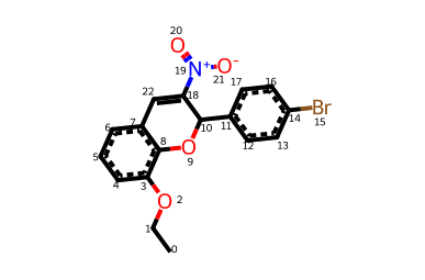 CCOc1cccc2c1OC(c1ccc(Br)cc1)C([N+](=O)[O-])=C2